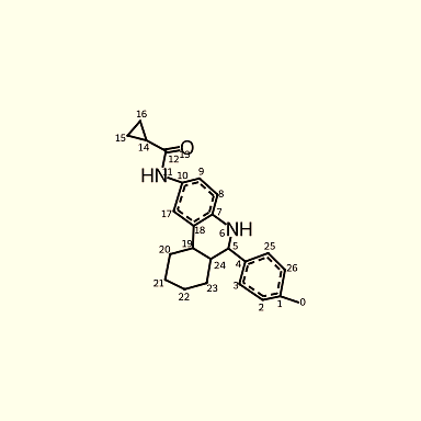 Cc1ccc(C2Nc3ccc(NC(=O)C4CC4)cc3C3CCCCC32)cc1